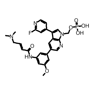 COc1cc(NC(=O)C=CCN(C)C)cc(-c2cnc3c(c2)c(-c2ccnc(F)c2)cn3COP(=O)(O)O)c1